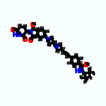 CC1(C)CC(C)(C)C1NC(=O)c1ccc(C#CC2CN(C3CN(c4ccc5c(c4)C(=O)N(C4CCC(=O)NC4=O)C5=O)C3)C2)cc1